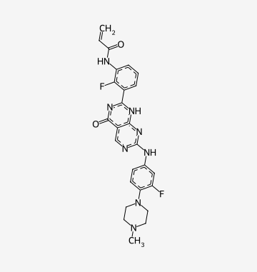 C=CC(=O)Nc1cccc(-c2nc(=O)c3cnc(Nc4ccc(N5CCN(C)CC5)c(F)c4)nc3[nH]2)c1F